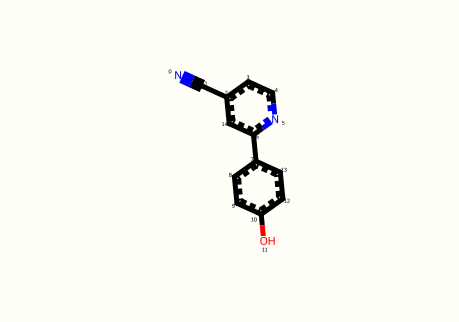 N#Cc1ccnc(-c2ccc(O)cc2)c1